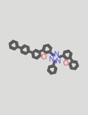 c1ccc(-c2ccc(-c3ccc4oc5c(-c6nc(-c7ccccc7)nc(-c7cccc8c7oc7ccccc78)n6)cccc5c4c3)cc2)cc1